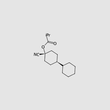 CC(C)C(=O)O[C@]1(C#N)CC[C@@H](C2CCCCC2)CC1